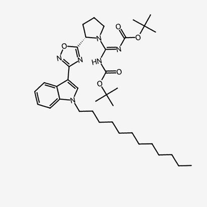 CCCCCCCCCCCCn1cc(-c2noc([C@@H]3CCCN3/C(=N\C(=O)OC(C)(C)C)NC(=O)OC(C)(C)C)n2)c2ccccc21